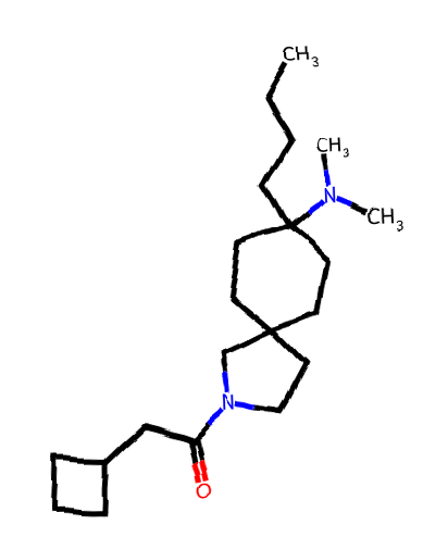 CCCCC1(N(C)C)CCC2(CCN(C(=O)CC3CCC3)C2)CC1